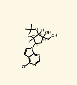 CC1(C)O[C@H]2[C@H](n3ccc4c(Cl)ncnc43)C[C@@](O)(CO)[C@H]2O1